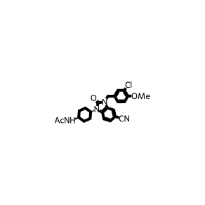 COc1ccc(Cn2c(=O)n([C@H]3CC[C@H](NC(C)=O)CC3)c3ccc(C#N)cc32)cc1Cl